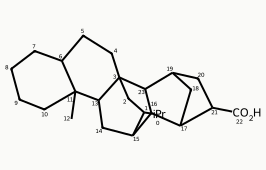 CC(C)C1CC23CCC4CCCCC4(C)C2CC1C1C2CC(CC2C(=O)O)C13